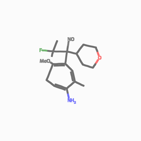 COC1=C(C(N=O)(C2CCOCC2)C(C)(C)F)C=C(C)C(N)=CC1